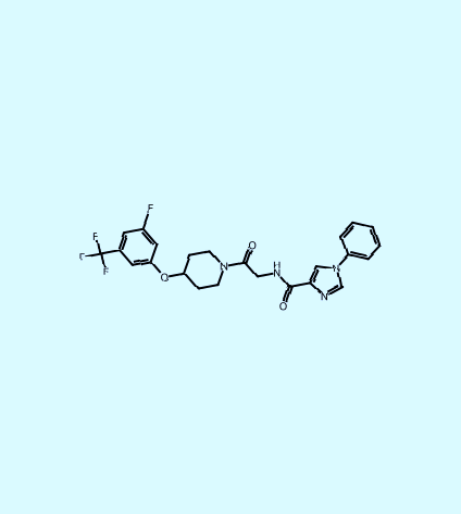 O=C(NCC(=O)N1CCC(Oc2cc(F)cc(C(F)(F)F)c2)CC1)c1cn(-c2ccccc2)cn1